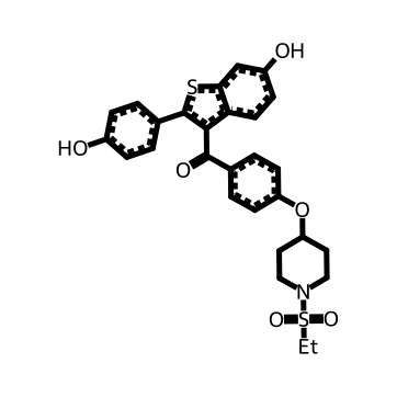 CCS(=O)(=O)N1CCC(Oc2ccc(C(=O)c3c(-c4ccc(O)cc4)sc4cc(O)ccc34)cc2)CC1